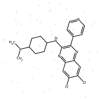 CN(C)C1CCC(Nc2nc3cc(Cl)c(Cl)cc3nc2-c2ccncc2)CC1